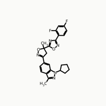 Cc1nn(C2CCCC2)c2cc(C3=NOC(C)(c4nc(-c5ccc(F)cc5F)no4)C3)ccc12